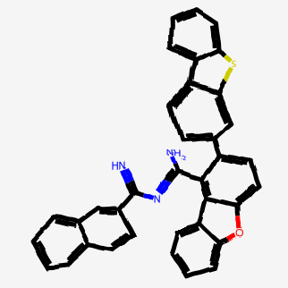 N=C(/N=C(\N)c1c(-c2ccc3c(c2)sc2ccccc23)ccc2oc3ccccc3c12)c1ccc2ccccc2c1